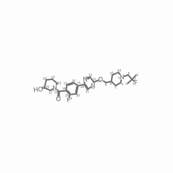 CC(C)(F)CN1CCC(COc2cnc(-c3ccc(C(=O)N4CCC[C@@H](O)C4)c(F)c3)cn2)CC1